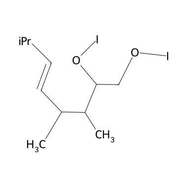 CC(C)/C=C/C(C)C(C)C(COI)OI